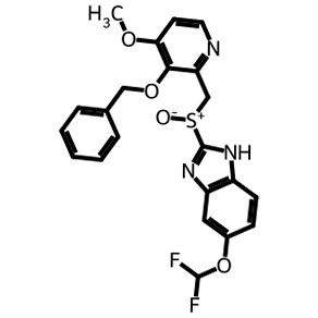 COc1ccnc(C[S+]([O-])c2nc3cc(OC(F)F)ccc3[nH]2)c1OCc1ccccc1